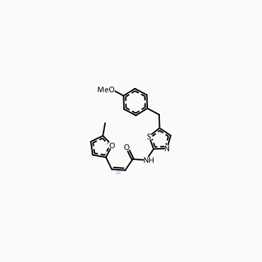 COc1ccc(Cc2cnc(NC(=O)/C=C\c3ccc(C)o3)s2)cc1